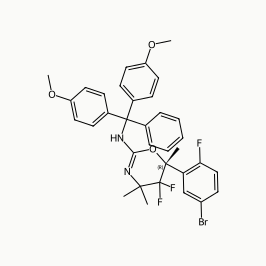 COc1ccc(C(NC2=NC(C)(C)C(F)(F)[C@@](C)(c3cc(Br)ccc3F)O2)(c2ccccc2)c2ccc(OC)cc2)cc1